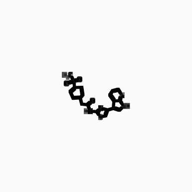 CS(=O)(=O)c1ccc(CC(=O)Nc2nc(-c3c[nH]c4ncccc34)cs2)cc1